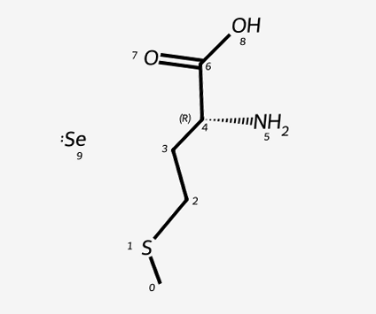 CSCC[C@@H](N)C(=O)O.[Se]